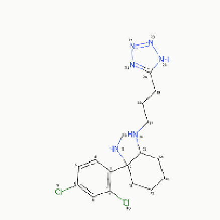 CNC1(c2ccc(Cl)cc2Cl)CCCCC1NCCCc1nnn[nH]1